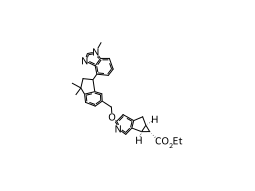 CCOC(=O)[C@H]1[C@@H]2Cc3cc(OCc4ccc5c(c4)C(c4cccc6c4ncn6C)CC5(C)C)ncc3[C@@H]21